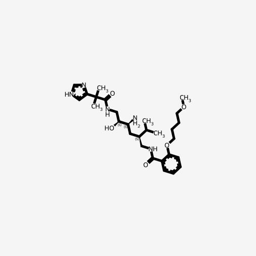 COCCCCOc1ccccc1C(=O)NC[C@@H](C[C@H](N)[C@@H](O)CNC(=O)C(C)(C)c1c[nH]cn1)C(C)C